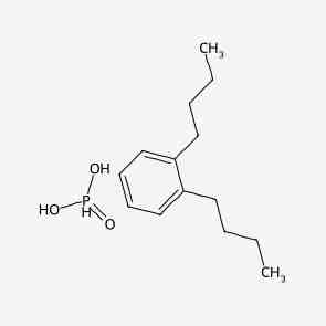 CCCCc1ccccc1CCCC.O=[PH](O)O